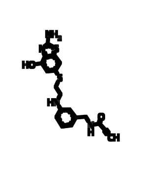 C#CC(=O)NCc1cccc(NCCSc2cc(O)c3nc(N)sc3c2)c1